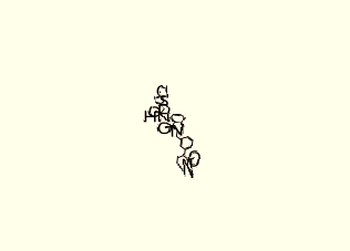 CN1CCCC(c2cccc(CN3C=C4CC=CC(NC(=O)Oc5ccc(Cl)s5)=C4C3=O)c2)C1=O